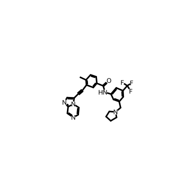 Cc1ccc(C(=O)Nc2cc(CN3CCCC3)cc(C(F)(F)F)c2)cc1C#Cc1cnc2cnccn12